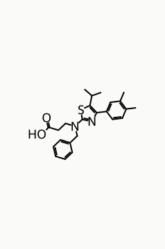 Cc1ccc(-c2nc(N(CCC(=O)O)Cc3ccccc3)sc2C(C)C)cc1C